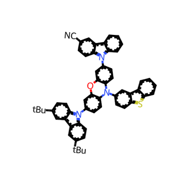 CC(C)(C)c1ccc2c(c1)c1cc(C(C)(C)C)ccc1n2-c1ccc2c(c1)Oc1cc(-n3c4ccccc4c4cc(C#N)ccc43)ccc1N2c1ccc2sc3ccccc3c2c1